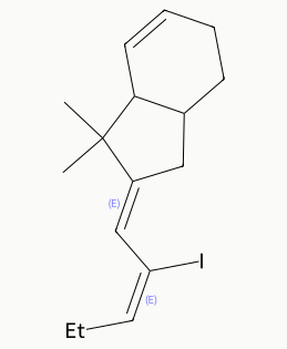 CC/C=C(I)\C=C1/CC2CCC=CC2C1(C)C